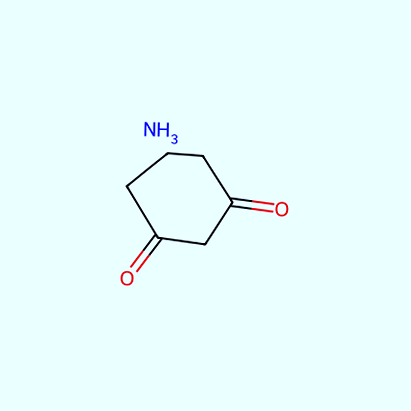 N.O=C1CCCC(=O)C1